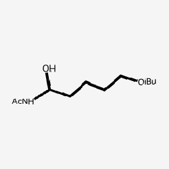 CC(=O)NC(O)CCCCOCC(C)C